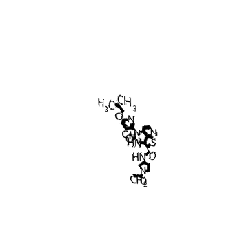 C=CC(=O)N1CCC(NC(=O)[C@@H]2Sc3nccc4c3C2NC(=O)N4c2cnc(OCC(C)C)cc2C)C1